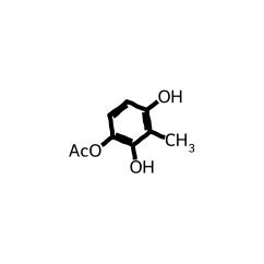 CC(=O)Oc1ccc(O)c(C)c1O